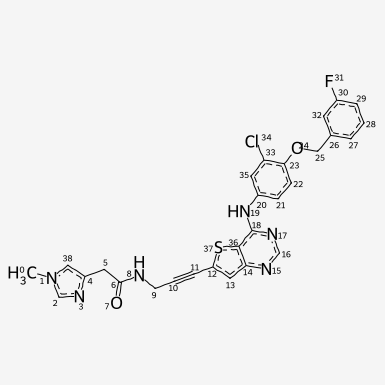 Cn1cnc(CC(=O)NCC#Cc2cc3ncnc(Nc4ccc(OCc5cccc(F)c5)c(Cl)c4)c3s2)c1